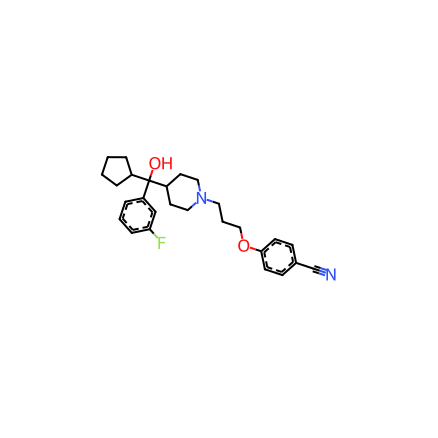 N#Cc1ccc(OCCCN2CCC(C(O)(c3cccc(F)c3)C3CCCC3)CC2)cc1